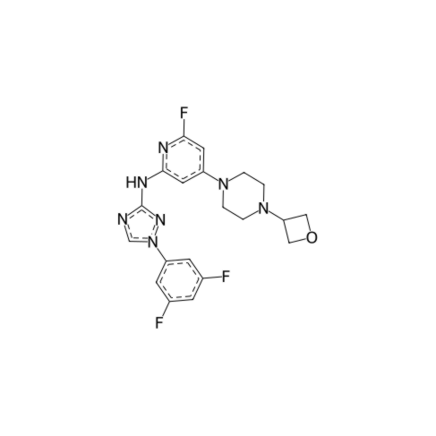 Fc1cc(F)cc(-n2cnc(Nc3cc(N4CCN(C5COC5)CC4)cc(F)n3)n2)c1